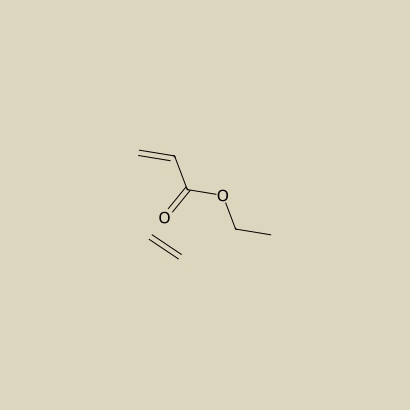 C=C.C=CC(=O)OCC